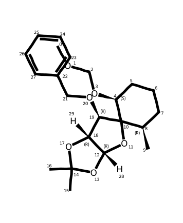 COCO[C@H]1CCC[C@@H](C)C12O[C@@H]1OC(C)(C)O[C@@H]1[C@H]2OCc1ccccc1